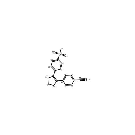 CS(=O)(=O)c1ccc(C2=C(c3ccc(C#N)cc3)CCC2)cc1